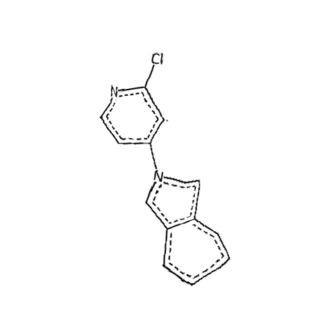 Clc1[c]c(-n2cc3ccccc3c2)ccn1